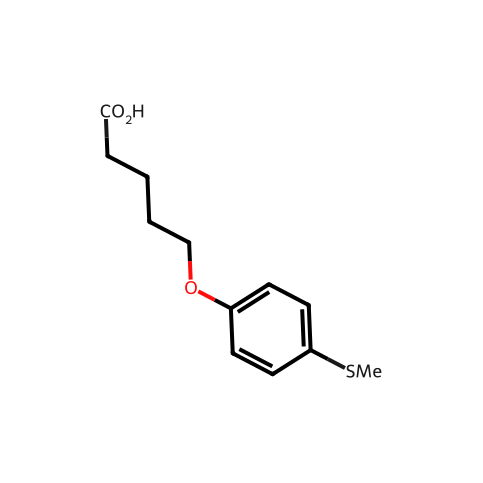 CSc1ccc(OCCCCC(=O)O)cc1